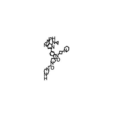 CC(C)n1cnc2cc(-c3ccc4c(c3)N(C3CC(N5CCCCC5)C3)C(=O)C43CCN(C(=O)CN4CCNCC4)CC3)nc(NC3CC3)c21